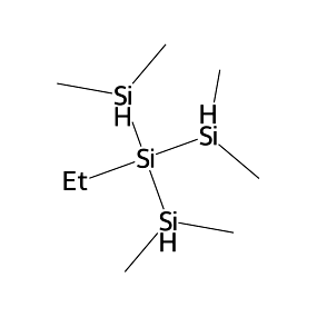 CC[Si]([SiH](C)C)([SiH](C)C)[SiH](C)C